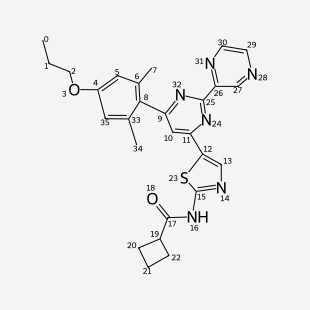 CCCOc1cc(C)c(-c2cc(-c3cnc(NC(=O)C4CCC4)s3)nc(-c3cnccn3)n2)c(C)c1